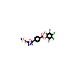 CSc1nnc(-c2ccc(C(=O)Oc3c(F)c(F)c(F)c(F)c3F)cc2)o1